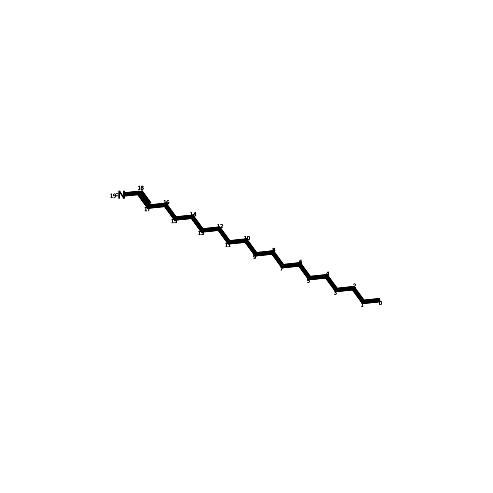 CCCCCCCCCCCCCCCCC/C=C/[N]